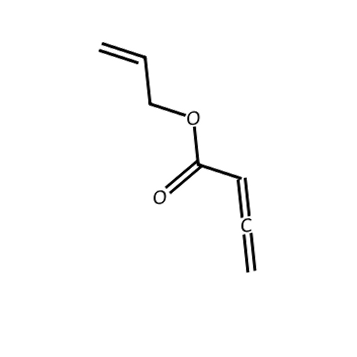 C=C=CC(=O)OCC=C